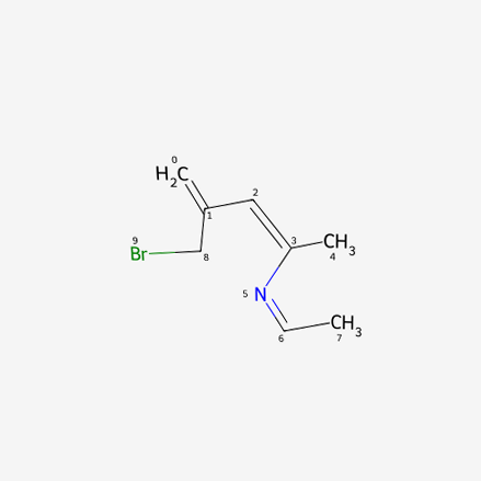 C=C(/C=C(C)\N=C/C)CBr